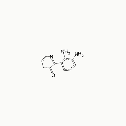 Nc1cccc(C2=NC=CCC2=O)c1N